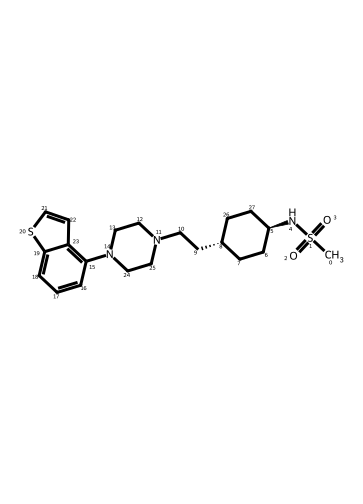 CS(=O)(=O)N[C@H]1CC[C@H](CCN2CCN(c3cccc4sccc34)CC2)CC1